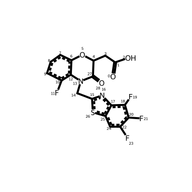 O=C(O)CC1Oc2cccc(F)c2N(Cc2nc3c(F)c(F)c(F)cc3s2)C1=O